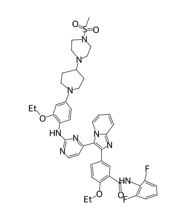 CCOc1cc(N2CCC(N3CCN(S(C)(=O)=O)CC3)CC2)ccc1Nc1nccc(-c2c(-c3ccc(OCC)c(C(=O)Nc4c(F)cccc4F)c3)nc3ccccn23)n1